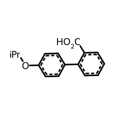 CC(C)Oc1ccc(-c2ccccc2C(=O)O)cc1